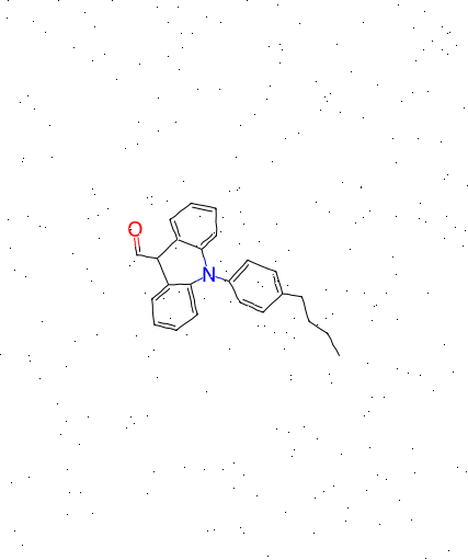 CCCCc1ccc(N2c3ccccc3C(C=O)c3ccccc32)cc1